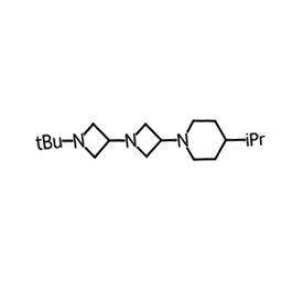 CC(C)C1CCN(C2CN(C3CN(C(C)(C)C)C3)C2)CC1